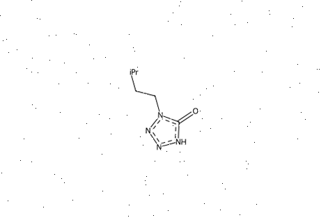 CC(C)CCn1nn[nH]c1=O